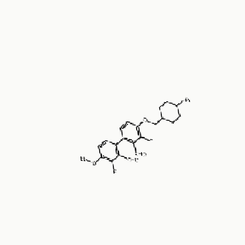 CCCC1CCC(COc2ccc(-c3ccc(OCC)c(F)c3C=O)c(C=O)c2F)CC1